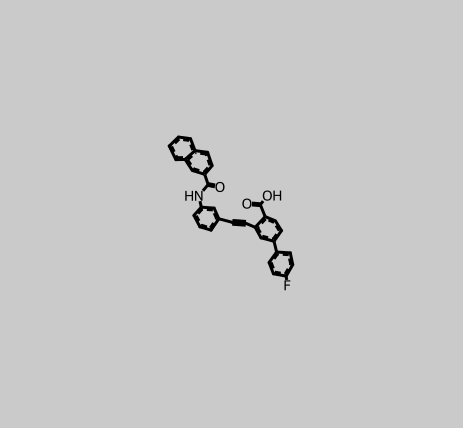 O=C(Nc1cccc(C#Cc2cc(-c3ccc(F)cc3)ccc2C(=O)O)c1)c1ccc2ccccc2c1